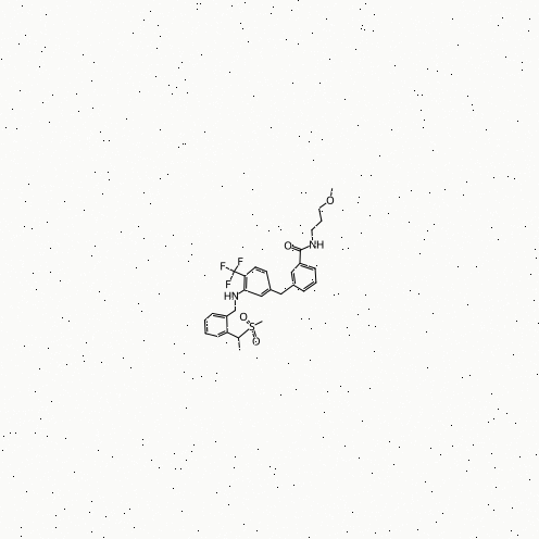 COCCCNC(=O)c1cccc(Cc2ccc(C(F)(F)F)c(NCc3ccccc3C(C)S(C)(=O)=O)c2)c1